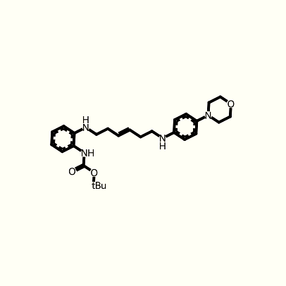 CC(C)(C)OC(=O)Nc1ccccc1NCC/C=C/CCNc1ccc(N2CCOCC2)cc1